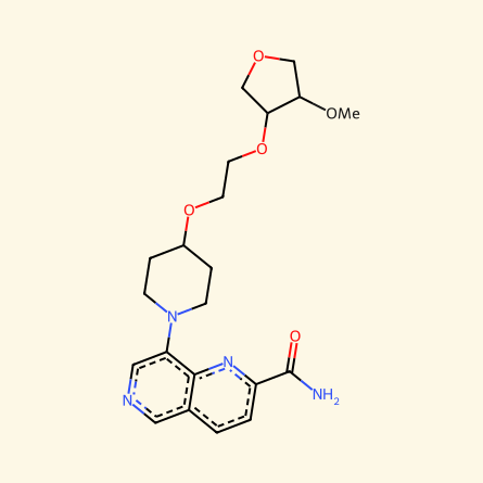 COC1COCC1OCCOC1CCN(c2cncc3ccc(C(N)=O)nc23)CC1